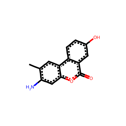 Cc1cc2c(cc1N)oc(=O)c1cc(O)ccc12